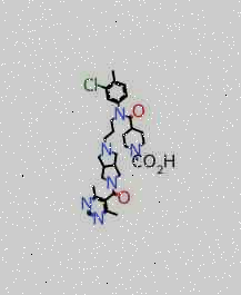 Cc1ccc(N(CCCN2CC3CN(C(=O)c4c(C)ncnc4C)CC3C2)C(=O)C2CCN(C(=O)O)CC2)cc1Cl